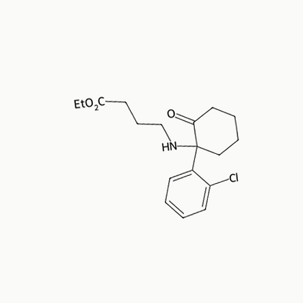 CCOC(=O)CCCNC1(c2ccccc2Cl)CCCCC1=O